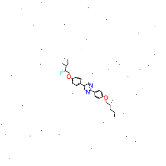 CCCCCOc1ccc(-c2ncc(-c3ccc(OCC(F)C(C)CC)cc3)cn2)cc1